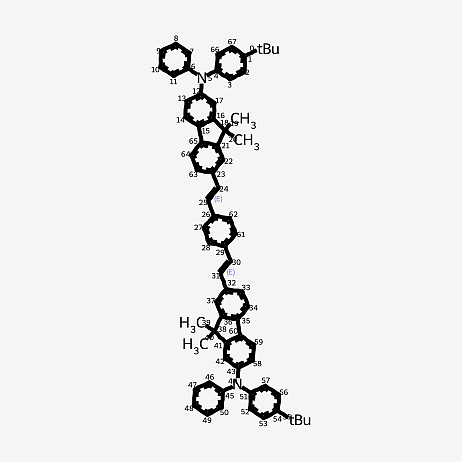 CC(C)(C)c1ccc(N(c2ccccc2)c2ccc3c(c2)C(C)(C)c2cc(/C=C/c4ccc(/C=C/c5ccc6c(c5)C(C)(C)c5cc(N(c7ccccc7)c7ccc(C(C)(C)C)cc7)ccc5-6)cc4)ccc2-3)cc1